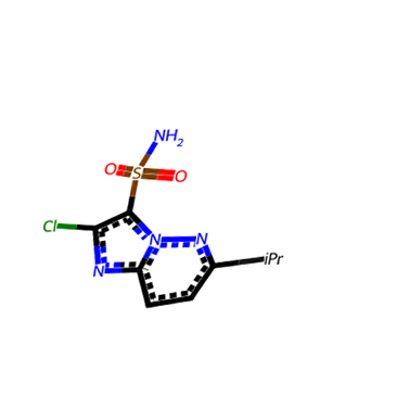 CC(C)c1ccc2nc(Cl)c(S(N)(=O)=O)n2n1